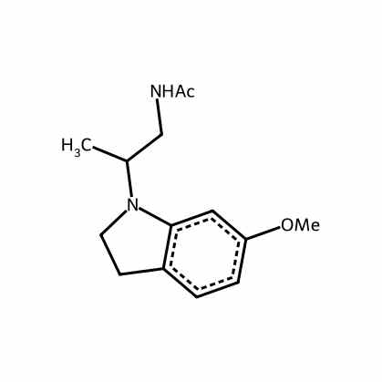 COc1ccc2c(c1)N(C(C)CNC(C)=O)CC2